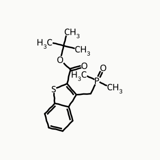 CC(C)(C)OC(=O)c1sc2ccccc2c1CP(C)(C)=O